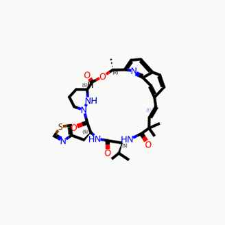 CC(C)[C@@H]1NC(=O)C(C)(C)/C=C/c2ccc3ccc(nc3c2)[C@@H](C)OC(=O)[C@@H]2CCCN(N2)C(=O)[C@H](Cc2cscn2)NC1=O